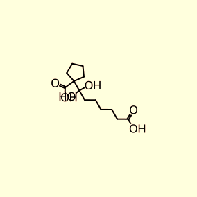 O=C(O)CCCCCC(O)(O)C1(C(=O)O)CCCC1